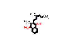 CCC/C(C)=C/Cc1c(C)c(O)c2ccccc2c1O